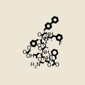 CC(=O)[C@H](CC1CCCCC1)NC(=O)[C@H](CCN)NC(=O)[C@@H](CC(C)C)NC(=O)[C@H](C)N(C)C(=O)[C@H](Cc1ccc(OCC(=O)O)cc1)NC(=O)[C@H](Cc1ccc(-c2ccccc2)cc1)NC(=O)[C@@H](C)Cc1cccc(F)c1